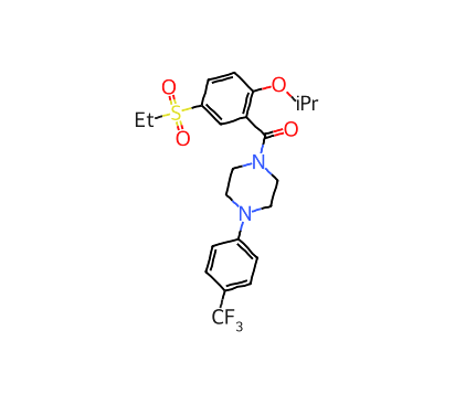 CCS(=O)(=O)c1ccc(OC(C)C)c(C(=O)N2CCN(c3ccc(C(F)(F)F)cc3)CC2)c1